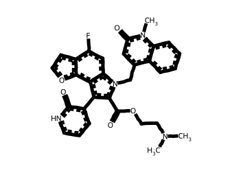 CN(C)CCOC(=O)c1c(-c2ccc[nH]c2=O)c2c3occc3c(F)cc2n1Cc1cc(=O)n(C)c2ccccc12